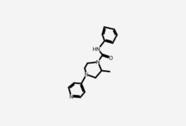 CC1CN(c2ccncc2)CCN1C(=O)Nc1ccccc1